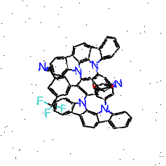 N#Cc1cc(-c2c(-n3c4ccccc4c4ccc5c6ccccc6n(-c6ccccc6)c5c43)cc(C#N)cc2-n2c3ccccc3c3ccc4c5ccccc5n(-c5ccccc5)c4c32)cc(C(F)(F)F)c1